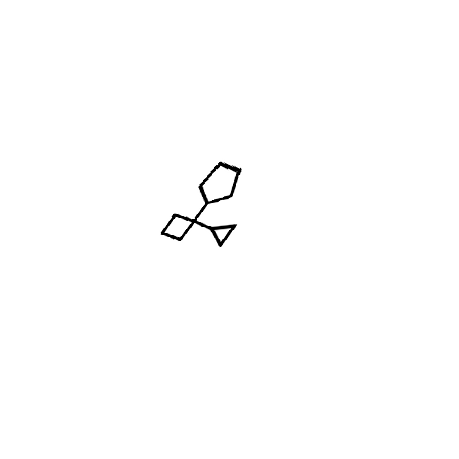 C1CCC(C2(C3CC3)CCC2)C1